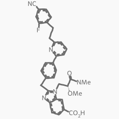 CNC(=O)[C@@H](Cn1c(Cc2ccc(-c3cccc(CCc4ccc(C#N)cc4F)n3)cc2)nc2ccc(C(=O)O)cc21)OC